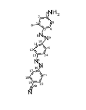 Cc1cc(N)ccc1/N=N/c1ccc(/N=N/c2ccc(C#N)cc2)cc1